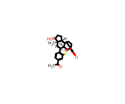 CC(=O)c1ccc2c(c1)S[C@]13CCC(=O)C=C1CC[C@@H]1[C@@H]3[C@@H]2C[C@]2(C)[C@@H](O)CC[C@@H]12